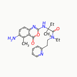 CCN(CCc1ccccn1)C(=O)C(C)(CC)Nc1nc2ccc(N)c(C)c2c(=O)o1